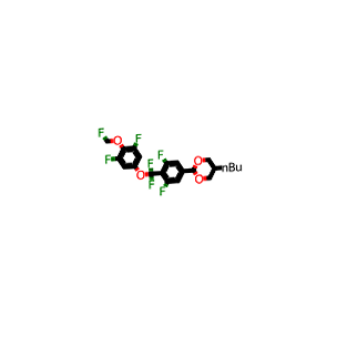 CCCCC1COC(c2cc(F)c(C(F)(F)Oc3cc(F)c(OCF)c(F)c3)c(F)c2)OC1